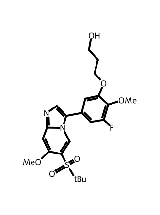 COc1cc2ncc(-c3cc(F)c(OC)c(OCCCO)c3)n2cc1S(=O)(=O)C(C)(C)C